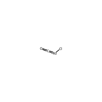 O=[C]=[Ru][Cl]